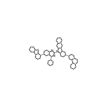 c1ccc(-c2nc(-n3c4ccc(-c5ccc6ccc7ccccc7c6c5)cc4c4cc5ccccc5cc43)nc3ccc(-c4cccc5c4sc4ccccc45)cc23)cc1